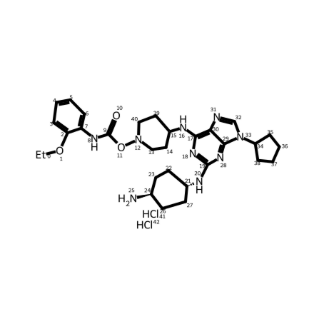 CCOc1ccccc1NC(=O)ON1CCC(Nc2nc(N[C@H]3CC[C@H](N)CC3)nc3c2ncn3C2CCCC2)CC1.Cl.Cl